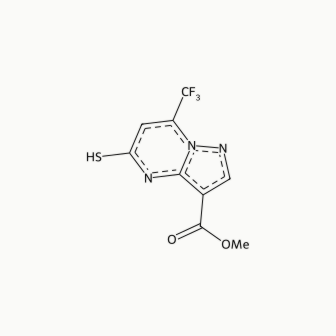 COC(=O)c1cnn2c(C(F)(F)F)cc(S)nc12